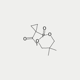 CC1(C)COP(=O)(C2(C(=O)I)CC2)OC1